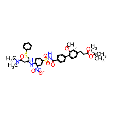 COc1cc(CCC(=O)OC(C)(C)C)ccc1-c1ccc(C(=O)NS(=O)(=O)c2ccc(N[C@@H](CSc3ccccc3)CC(=O)N(C)C)c([N+](=O)[O-])c2)cc1